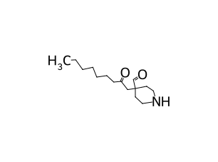 CCCCCCCC(=O)CC1(C=O)CCNCC1